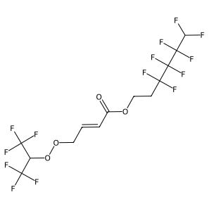 O=C(/C=C/COOC(C(F)(F)F)C(F)(F)F)OCCC(F)(F)C(F)(F)C(F)(F)C(F)F